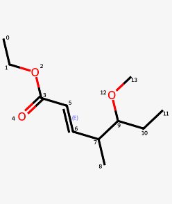 CCOC(=O)/C=C/C(C)C(CC)OC